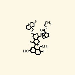 CCOC(=O)C12CCC(CN(c3nc(OC[C@@]45CCCN4C[C@H](F)C5)nc4c(F)c(-c5cc(O)cc6ccc(F)c(CC)c56)ncc34)C1)C2(F)F